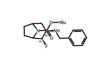 CC(C)(C)OC(=O)N1C2CCC1[C@H](F)[C@H](NCc1ccccc1)C2